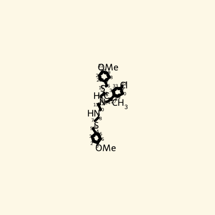 COc1ccc(CSCCNCCN(CCSCc2ccc(OC)cc2)CC(C)(C)c2ccc(Cl)cc2)cc1